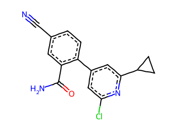 N#Cc1ccc(-c2cc(Cl)nc(C3CC3)c2)c(C(N)=O)c1